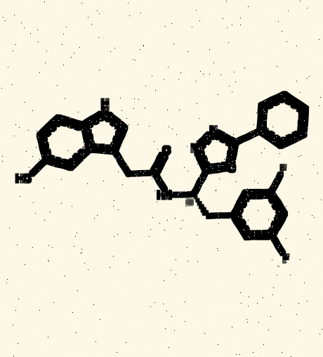 O=C(Cc1c[nH]c2ccc(O)cc12)N[C@@H](Cc1cc(F)cc(F)c1)c1nnc(-c2ccccc2)o1